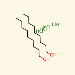 CCCCCCCCCO.CCCCCCCCCO.Cl.Cl.Cl.Cl